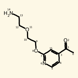 CC(=O)c1ccnc(OCCOCCN)c1